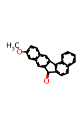 COc1ccc2cc3c(cc2c1)C(=O)c1ccc2ccccc2c1-3